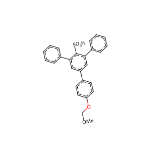 COCOc1ccc(-c2cc(-c3ccccc3)c(S(=O)(=O)O)c(-c3ccccc3)c2)cc1